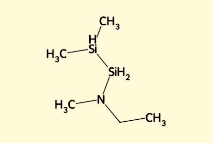 CCN(C)[SiH2][SiH](C)C